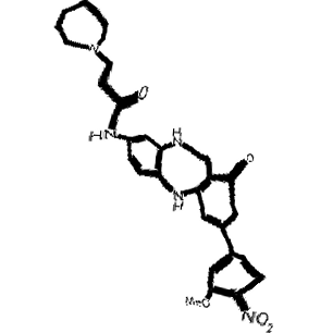 COc1cc(C2=CC3=C(CNc4cc(NC(=O)CCN5CCCCC5)ccc4N3)C(=O)C2)ccc1[N+](=O)[O-]